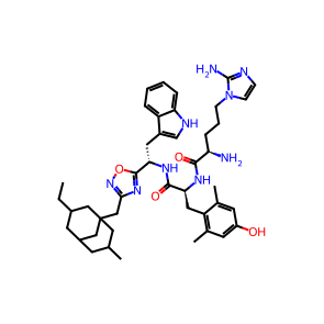 CCC1CC2CC(C)CC(Cc3noc([C@H](Cc4c[nH]c5ccccc45)NC(=O)[C@H](Cc4c(C)cc(O)cc4C)NC(=O)[C@H](N)CCCn4ccnc4N)n3)(C1)C2